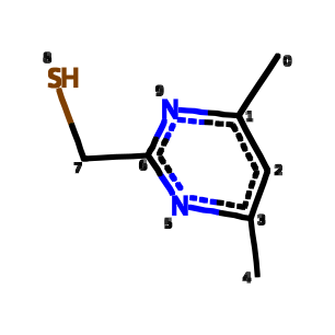 Cc1cc(C)nc(CS)n1